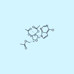 CC(=O)OC[C@H]1O[C@@H](n2ccc3c(Cl)ncnc32)[C@](C)(OC(C)=O)[C@@H]1OC(C)=O